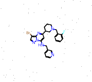 Fc1ccccc1CN1CCCC(c2cc(NCc3cccnc3)n3ncc(Br)c3n2)C1